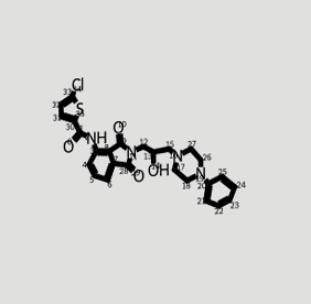 O=C(Nc1cccc2c1C(=O)N(CC(O)CN1CCN(c3ccccc3)CC1)C2=O)c1ccc(Cl)s1